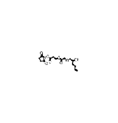 C=CCCC(CC)COCC(=O)SCCC(=O)ON1C(=O)CCC1=O